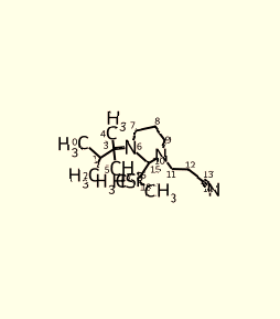 CC(C)C(C)(C)N1CCCN(CCC#N)C1[SiH](C)C